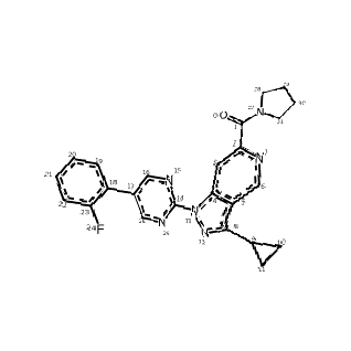 O=C(c1cc2c(cn1)c(C1CC1)nn2-c1ncc(-c2ccccc2F)cn1)N1CCCC1